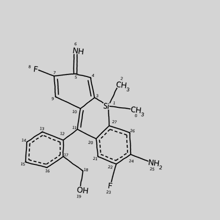 C[Si]1(C)C2=CC(=N)C(F)=CC2=C(c2ccccc2CO)c2cc(F)c(N)cc21